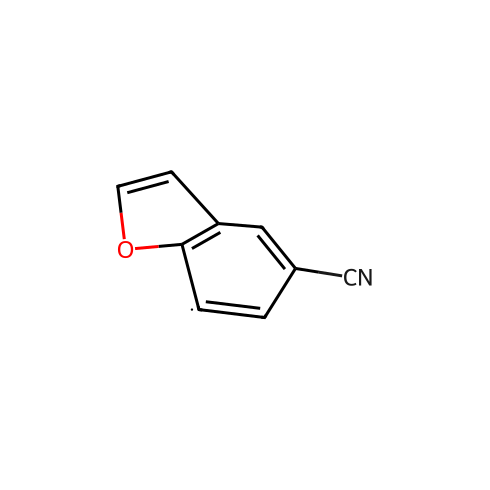 N#Cc1c[c]c2occc2c1